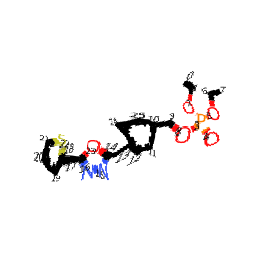 CCOP(=O)(OCC)OCc1ccc(-c2nnc(-c3cccs3)o2)cc1